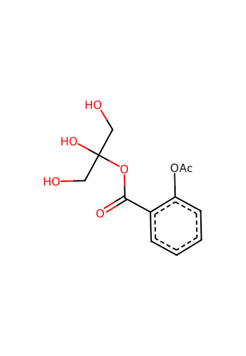 CC(=O)Oc1ccccc1C(=O)OC(O)(CO)CO